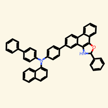 c1ccc(-c2ccc(N(c3ccc(-c4ccc5c(c4)c4c(c6ccccc65)OC(c5ccccc5)N4)cc3)c3cccc4ccccc34)cc2)cc1